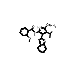 COc1ccccc1C(=O)Nc1[nH]c(ON)c(C(C)C)c1-c1nc2ccccc2s1